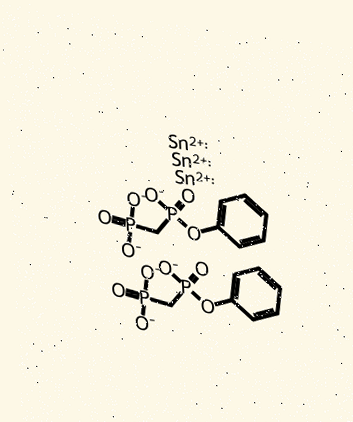 O=P([O-])([O-])CP(=O)([O-])Oc1ccccc1.O=P([O-])([O-])CP(=O)([O-])Oc1ccccc1.[Sn+2].[Sn+2].[Sn+2]